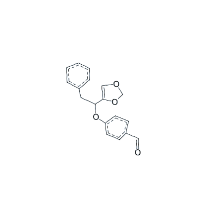 O=Cc1ccc(OC(Cc2ccccc2)C2=COCO2)cc1